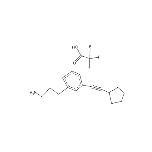 NCCCc1cccc(C#CC2CCCC2)c1.O=C(O)C(F)(F)F